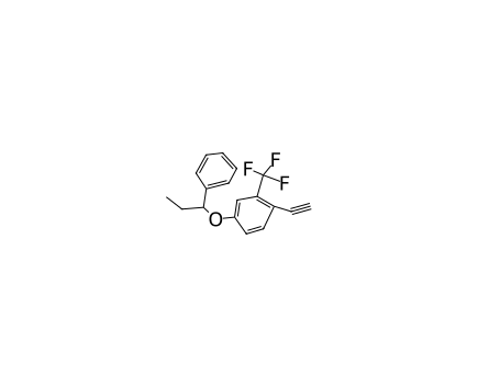 C#Cc1ccc(OC(CC)c2ccccc2)cc1C(F)(F)F